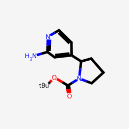 CC(C)(C)OC(=O)N1CCCC1c1ccnc(N)c1